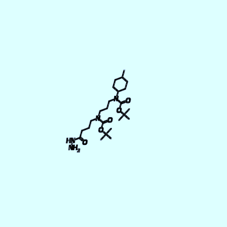 CC1CCC(N(CCCN(CCCC(=O)NN)C(=O)OC(C)(C)C)C(=O)OC(C)(C)C)CC1